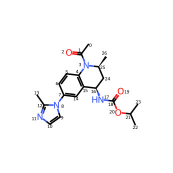 CC(=O)N1c2ccc(-n3ccnc3C)cc2[C@H](NC(=O)OC(C)C)C[C@@H]1C